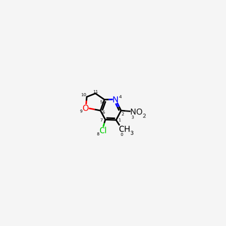 Cc1c([N+](=O)[O-])nc2c(c1Cl)OCC2